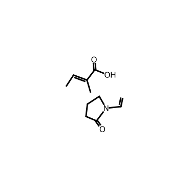 C/C=C(\C)C(=O)O.C=CN1CCCC1=O